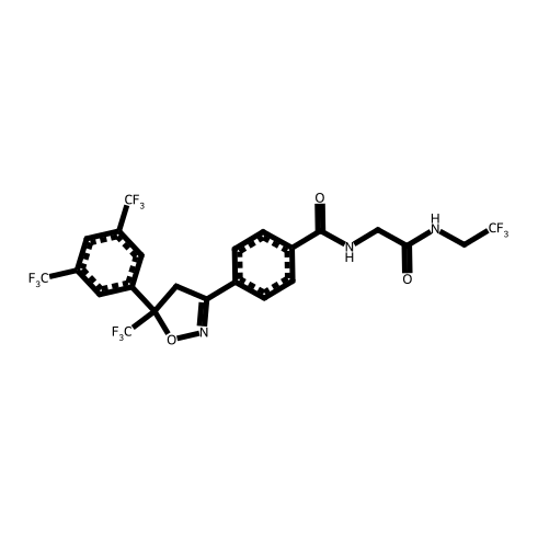 O=C(CNC(=O)c1ccc(C2=NOC(c3cc(C(F)(F)F)cc(C(F)(F)F)c3)(C(F)(F)F)C2)cc1)NCC(F)(F)F